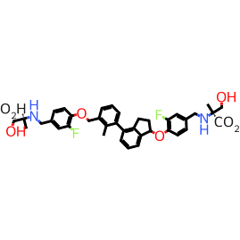 Cc1c(COc2ccc(CN[C@@](C)(CO)C(=O)O)cc2F)cccc1-c1cccc2c1CCC2Oc1ccc(CN[C@@](C)(CO)C(=O)O)cc1F